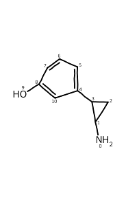 NC1CC1c1cccc(O)c1